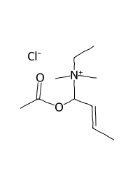 CC=CC(OC(C)=O)[N+](C)(C)CC.[Cl-]